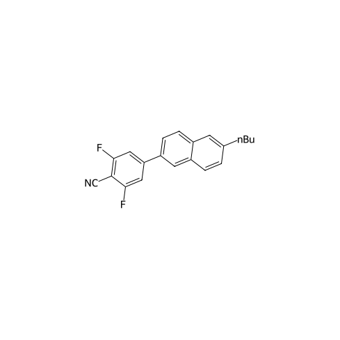 CCCCc1ccc2cc(-c3cc(F)c(C#N)c(F)c3)ccc2c1